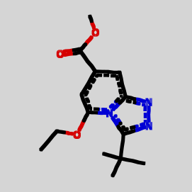 CCOc1cc(C(=O)OC)cc2nnc(C(C)(C)C)n12